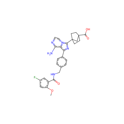 COc1ccc(F)cc1C(=O)NCc1ccc(-c2nc(C34CCC(C(=O)O)(CC3)C4)n3ccnc(N)c23)cc1